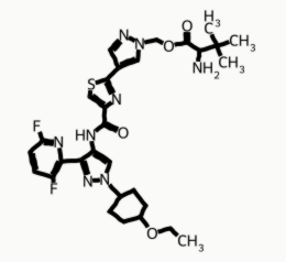 CCOC1CCC(n2cc(NC(=O)c3csc(-c4cnn(COC(=O)C(N)C(C)(C)C)c4)n3)c(-c3nc(F)ccc3F)n2)CC1